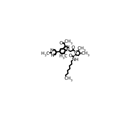 CCCCCCCCNC(=O)[C@@H]1C[C@H](C)[C@@H](C)N1C(=O)Cn1nc(C(C)=O)c2cc(-c3cnc(C)nc3)cc(C)c21